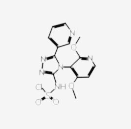 COc1ccnc(OC)c1-n1c(NS(=O)(=O)Cl)nnc1-c1cccnc1